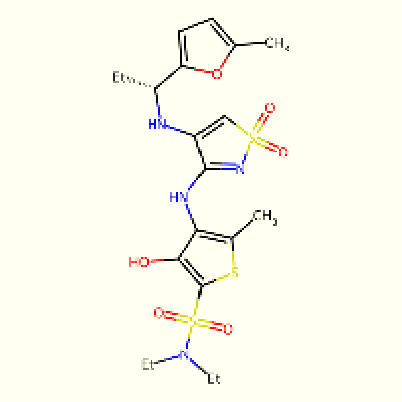 CC[C@@H](NC1=CS(=O)(=O)N=C1Nc1c(C)sc(S(=O)(=O)N(CC)CC)c1O)c1ccc(C)o1